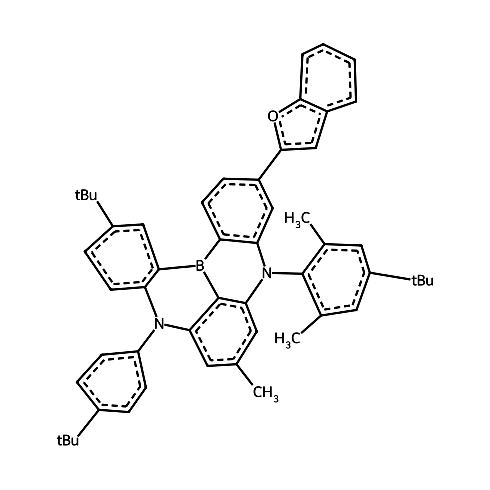 Cc1cc2c3c(c1)N(c1c(C)cc(C(C)(C)C)cc1C)c1cc(-c4cc5ccccc5o4)ccc1B3c1cc(C(C)(C)C)ccc1N2c1ccc(C(C)(C)C)cc1